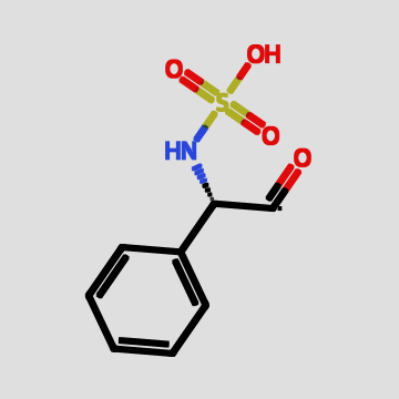 O=[C][C@@H](NS(=O)(=O)O)c1ccccc1